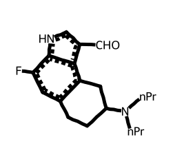 CCCN(CCC)C1CCc2cc(F)c3[nH]cc(C=O)c3c2C1